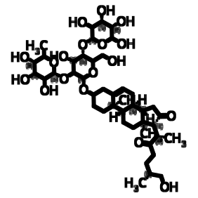 CC1O[C@@H](OC2[C@H](OC3CC[C@@]4(C)C(=CC[C@H]5[C@@H]6CC(=O)[C@H]([C@H](C)C(=O)CC[C@@H](C)CO)[C@@]6(C)CC[C@@H]54)C3)OC(CO)[C@@H](O[C@@H]3OC(O)[C@H](O)[C@H](O)C3O)[C@@H]2O)C(O)[C@@H](O)[C@H]1O